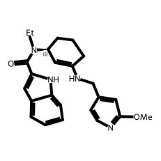 CCN(C(=O)c1cc2ccccc2[nH]1)[C@@H]1C=C(NCc2ccnc(OC)c2)CCC1